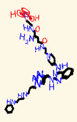 N[C@@H](CCC(=O)NCCN1CCC(Nc2nc(NCc3cn(CCCNCCCNC4CCCCC4)nn3)nc3ccccc23)CC1)C(=O)NCCP(=O)(O)O